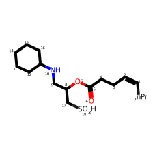 CCC/C=C\CCC(=O)OC(CNC1CCCCC1)CS(=O)(=O)O